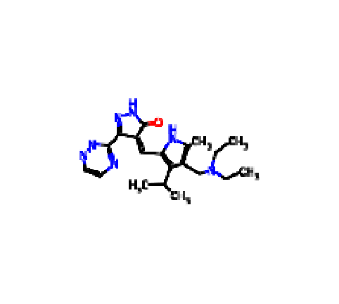 CCN(CC)Cc1c(C)[nH]c(C=C2C(=O)NN=C2c2nccnn2)c1C(C)C